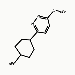 CCCOc1ccc(C2CCC(CCC)CC2)nn1